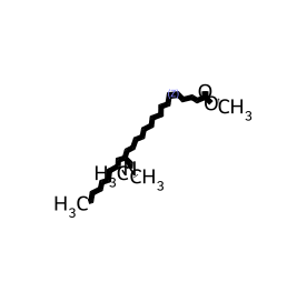 CCCCCCCCCC(CCCCCCCCCC/C=C\CCCC(=O)OCC)CN(C)C